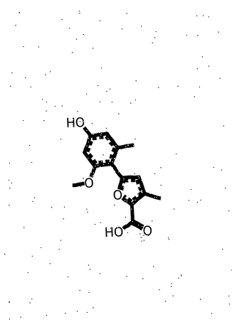 COc1cc(O)cc(C)c1-c1cc(C)c(C(=O)O)o1